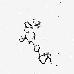 O=CC1=CC=CC(C2=CCN(c3ncn(Cc4ccc(C(F)(F)F)s4)c(=O)n3)CC2)N1